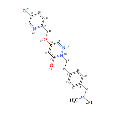 CCN(C)Cc1ccc(CCn2ncc(OCc3ccc(Cl)cn3)cc2=O)cc1